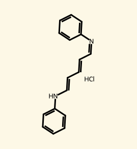 C(/C=C/C=C/Nc1ccccc1)=N/c1ccccc1.Cl